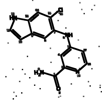 NC(=O)c1cc(Nc2cc3cc[nH]c3cc2Cl)ccn1